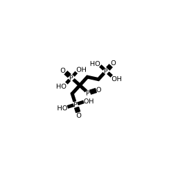 O=PC(CCP(=O)(O)O)(CP(=O)(O)O)P(=O)(O)O